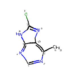 Cc1ncnc2[nH]c(Cl)nc12